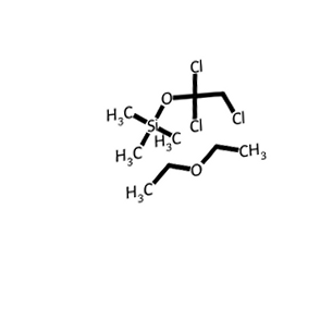 CCOCC.C[Si](C)(C)OC(Cl)(Cl)CCl